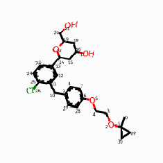 CC1(OCCOc2ccc(Cc3cc(C4CC(O)CC(CO)O4)ccc3Cl)cc2)CC1